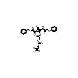 O=C(COc1ccccc1)N[C@@H]1C(=O)N(C(=O)C(=O)OCc2ccccc2)[C@@H]1SC(=O)COC(=O)OCC(Cl)(Cl)Cl